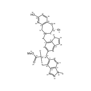 CC[C@@H]1CN(Cc2cc([C@H](c3cnc4c(nnn4C)c3C)C(C)(C)C(=O)OC)cc3ccsc23)Cc2nc(O)ccc2O1